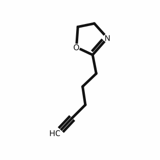 C#CCCCC1=NCCO1